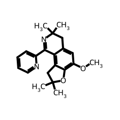 COc1cc2c(c3c1OC(C)(C)C3)C(c1ccccn1)=NC(C)(C)C2